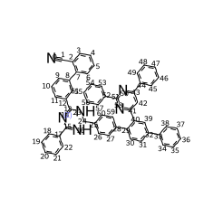 N#Cc1ccccc1-c1cccc(/C(=N/C(=N)c2ccccc2)NCc2ccc(-c3ccc(-c4ccccc4)cc3-c3cc(-c4ccccc4)nc(-c4ccccc4)n3)cc2)c1